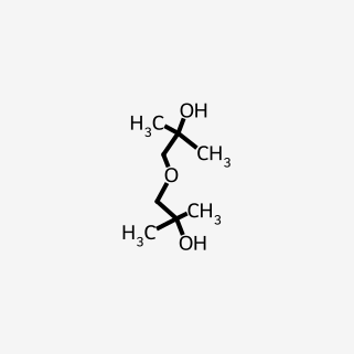 CC(C)(O)COCC(C)(C)O